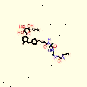 C#CCN(C)C(=O)CN(C)CCNC(=O)C(C)(C)NC(=O)CCCc1ccc(Cc2cc([C@@H]3O[C@H](SC)[C@@H](O)[C@H](O)[C@H]3O)ccc2C)cc1